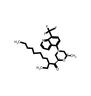 CCCCCCCCC(CC)C(=O)[C@H]1CN(c2ccc(C(F)(F)F)c3ncccc23)C[C@@H](C)O1